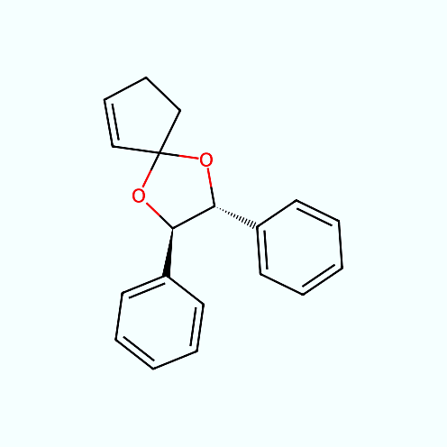 C1=CC2(CC1)O[C@H](c1ccccc1)[C@@H](c1ccccc1)O2